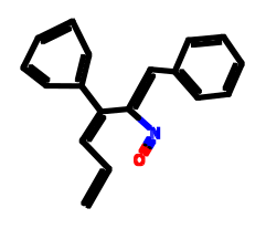 C=C/C=C(\C(=C\c1ccccc1)N=O)c1ccccc1